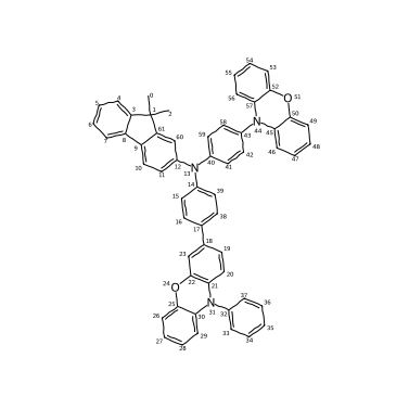 CC1(C)c2ccccc2-c2ccc(N(c3ccc(-c4ccc5c(c4)Oc4ccccc4N5c4ccccc4)cc3)c3ccc(N4c5ccccc5Oc5ccccc54)cc3)cc21